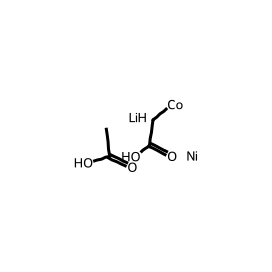 CC(=O)O.O=C(O)[CH2][Co].[LiH].[Ni]